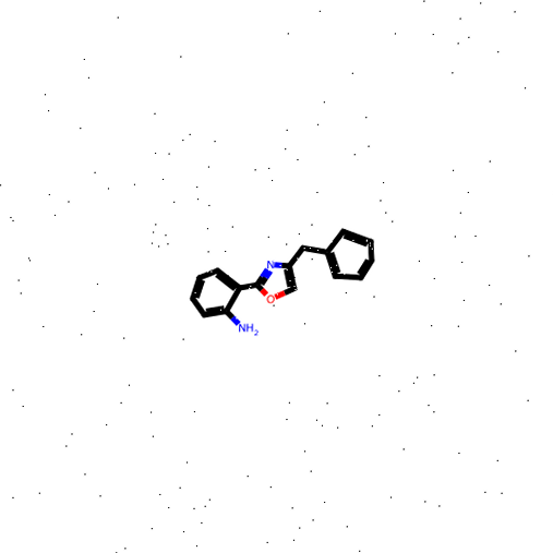 Nc1ccccc1-c1nc(Cc2ccccc2)co1